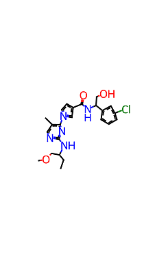 CCC(COC)Nc1ncc(C)c(-n2ccc(C(=O)NC(CO)c3cccc(Cl)c3)c2)n1